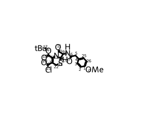 COc1ccc(CC(=O)NC2C(=O)N3C(C(=O)OC(C)(C)C)=C(C(=O)Cl)CS[C@@H]23)cc1